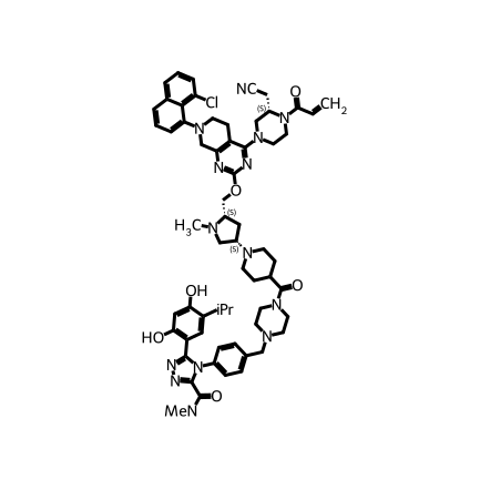 C=CC(=O)N1CCN(c2nc(OC[C@@H]3C[C@H](N4CCC(C(=O)N5CCN(Cc6ccc(-n7c(C(=O)NC)nnc7-c7cc(C(C)C)c(O)cc7O)cc6)CC5)CC4)CN3C)nc3c2CCN(c2cccc4cccc(Cl)c24)C3)C[C@@H]1CC#N